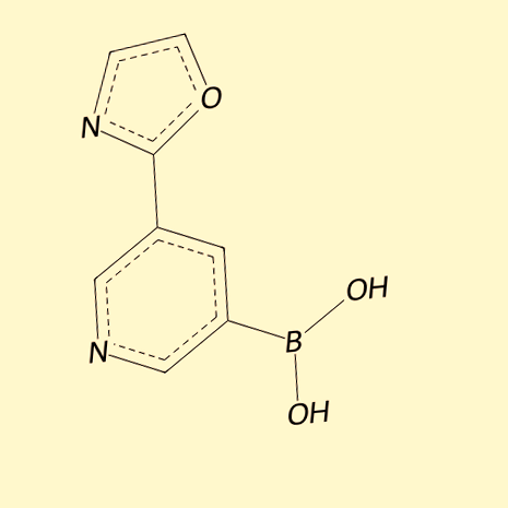 OB(O)c1cncc(-c2ncco2)c1